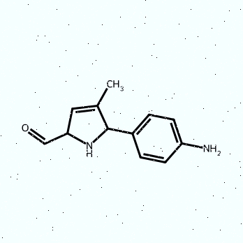 CC1=CC(C=O)NC1c1ccc(N)cc1